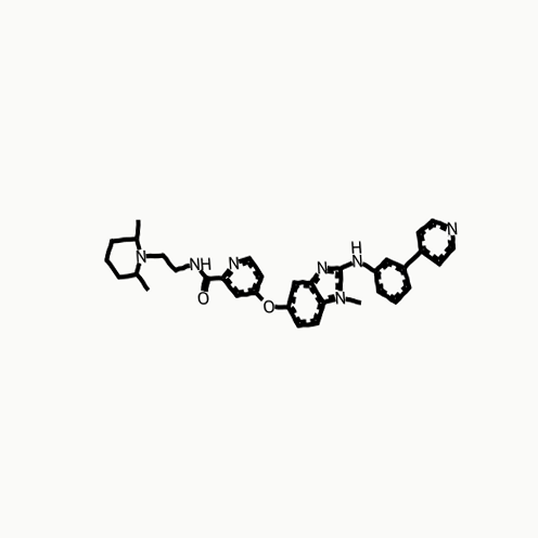 CC1CCCC(C)N1CCNC(=O)c1cc(Oc2ccc3c(c2)nc(Nc2cccc(-c4ccncc4)c2)n3C)ccn1